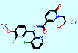 C[C@H](O)Cn1cc(C(=O)N[C@@H](c2ccc(OC(F)(F)F)c(F)c2)c2ncccc2F)ccc1=O